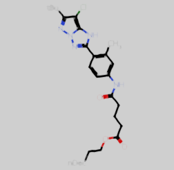 CCCCCCCCCCCCOC(=O)CCCC(=O)Nc1ccc(-c2nn3nc(C(C)(C)C)c(Cl)c3[nH]2)c(C)c1